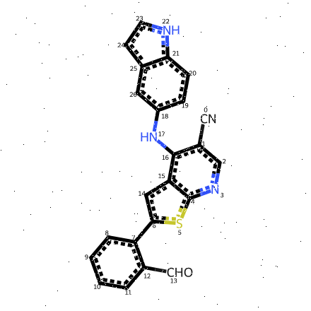 N#Cc1cnc2sc(-c3ccccc3C=O)cc2c1Nc1ccc2[nH]ccc2c1